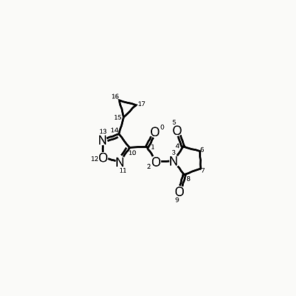 O=C(ON1C(=O)CCC1=O)c1nonc1C1CC1